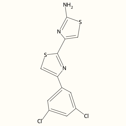 Nc1nc(-c2nc(-c3cc(Cl)cc(Cl)c3)cs2)cs1